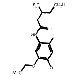 COCOc1cc(NC(=O)CC(CC(=O)O)C(F)(F)F)c(F)cc1Cl